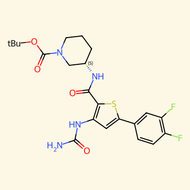 CC(C)(C)OC(=O)N1CCC[C@H](NC(=O)c2sc(-c3ccc(F)c(F)c3)cc2NC(N)=O)C1